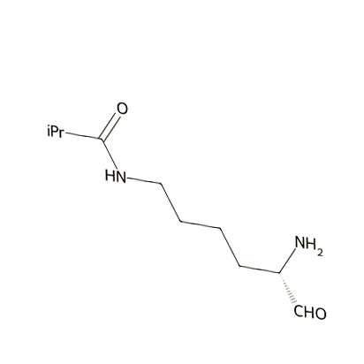 CC(C)C(=O)NCCCC[C@H](N)C=O